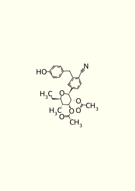 CC[C@H]1O[C@@H](c2ccc(C#N)c(Cc3ccc(O)cc3)c2)[C@H](OC(C)=O)[C@@H](OC(C)=O)[C@@H]1C